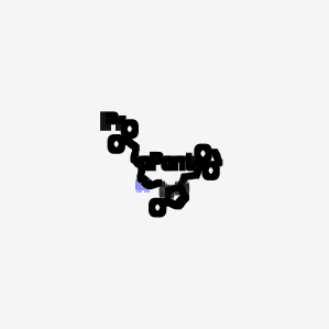 CCCCCC1(CC[C@H]2C=CC(=O)[C@@H]2C/C=C\CCCC(=O)OC(C)C)OCCO1